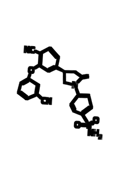 C=C1C[C@H](c2ccc(C#N)c(Oc3cccc(C#N)c3)c2)CN1c1ccc(S(N)(=O)=O)cc1